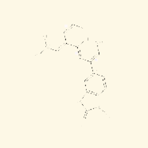 CN/C=C(\C=C(/C)C(=CN(C)C(C)C)/C=C\C=O)c1ccc2c(c1)CC(=O)N2C